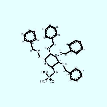 O=P(O)(O)OC1O[C@H](COCc2ccccc2)[C@@H](OCc2ccccc2)[C@H](OCc2ccccc2)[C@H]1OCc1ccccc1